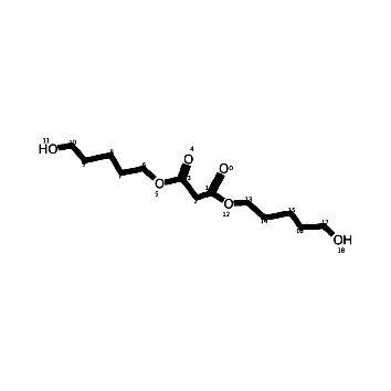 O=C(CC(=O)OCCCCCO)OCCCCCO